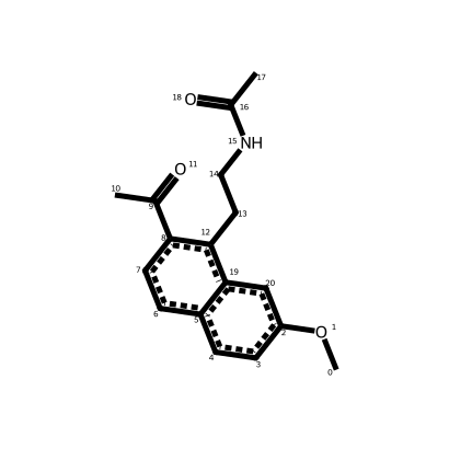 COc1ccc2ccc(C(C)=O)c(CCNC(C)=O)c2c1